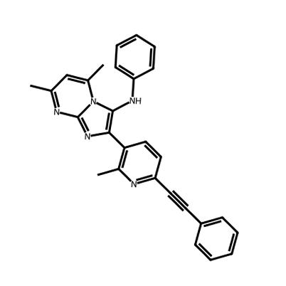 Cc1cc(C)n2c(Nc3ccccc3)c(-c3ccc(C#Cc4ccccc4)nc3C)nc2n1